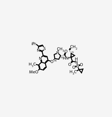 C=C[C@@H]1C[C@]1(NC(=O)[C@@H]1C[C@@H](Oc2cc(-c3nc(C(C)C)cs3)nc3c(C)c(OC)ccc23)CN1C)C(=O)NS(=O)(=O)C1(C)CC1